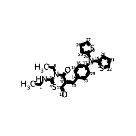 CCNC(=S)N(CC)C(=O)C(C=O)=Cc1ccc(N(c2cccs2)c2cccs2)cc1